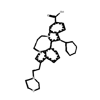 O=C(O)c1ccc2c(C3CCCCC3)c3n(c2c1)CCCn1cc(CCN2CCOCC2)c2cccc-3c21